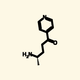 C[C@H](N)CCC(=O)c1ccncc1